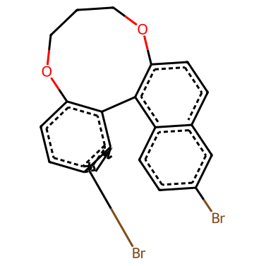 Brc1ccc2c3c(ccc2c1)OCCCOc1ccc2cc(Br)ccc2c1-3